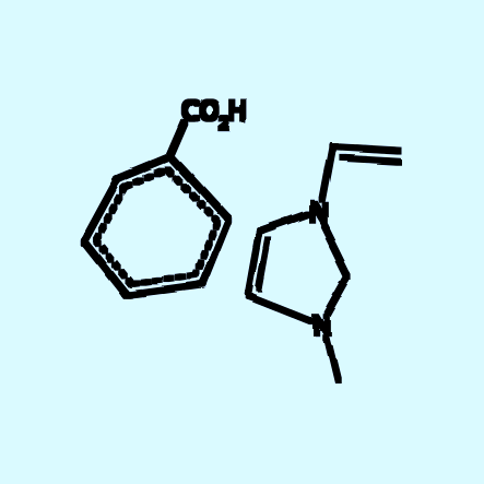 C=CN1C=CN(C)C1.O=C(O)c1ccccc1